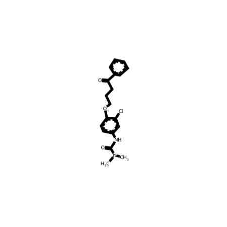 CN(C)C(=O)Nc1ccc(OCCCC(=O)c2ccccc2)c(Cl)c1